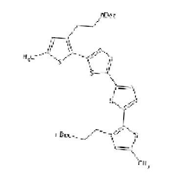 CCCCCCCCCCCCc1cc(C)sc1-c1ccc(-c2ccc(-c3sc(C)cc3CCCCCCCCCCCC)s2)s1